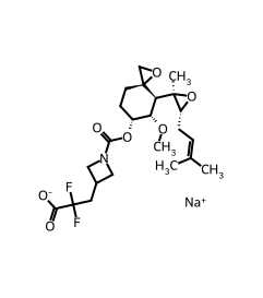 CO[C@@H]1[C@H](OC(=O)N2CC(CC(F)(F)C(=O)[O-])C2)CC[C@]2(CO2)[C@H]1[C@@]1(C)O[C@@H]1CC=C(C)C.[Na+]